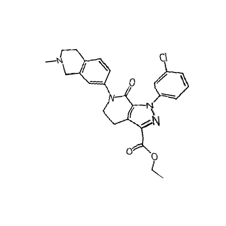 CCOC(=O)c1nn(-c2cccc(Cl)c2)c2c1CCN(c1ccc3c(c1)CN(C)CC3)C2=O